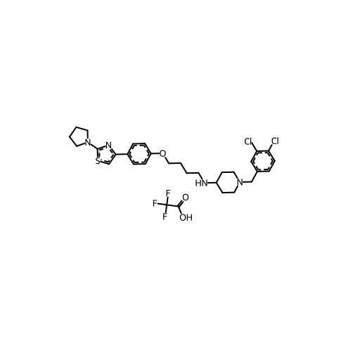 Clc1ccc(CN2CCC(NCCCCOc3ccc(-c4csc(N5CCCC5)n4)cc3)CC2)cc1Cl.O=C(O)C(F)(F)F